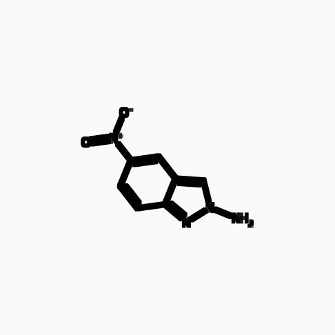 Nn1cc2cc([N+](=O)[O-])ccc2n1